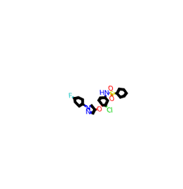 O=S(=O)(Nc1ccc(Oc2cnn(-c3ccc(F)cc3)c2)c(Cl)c1)c1ccccc1